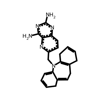 Nc1nc(N)c2nc(CN3C4=CC=CCC4=CCC4=C3CC=CC4)ccc2n1